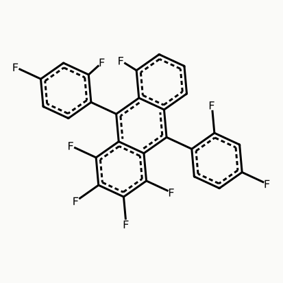 Fc1ccc(-c2c3cccc(F)c3c(-c3ccc(F)cc3F)c3c(F)c(F)c(F)c(F)c23)c(F)c1